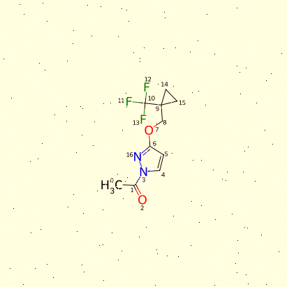 CC(=O)n1ccc(OCC2(C(F)(F)F)CC2)n1